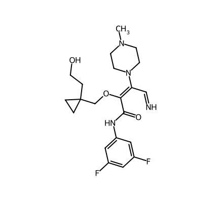 CN1CCN(/C(C=N)=C(\OCC2(CCO)CC2)C(=O)Nc2cc(F)cc(F)c2)CC1